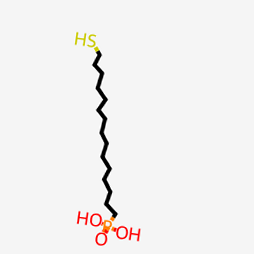 O=P(O)(O)CCCCCCCCCCCCCCCS